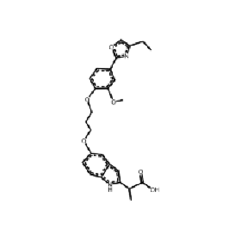 CCc1coc(-c2ccc(OCCCOc3ccc4[nH]c(C(C)C(=O)O)cc4c3)c(OC)c2)n1